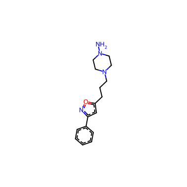 NN1CCN(CCCc2cc(-c3ccccc3)no2)CC1